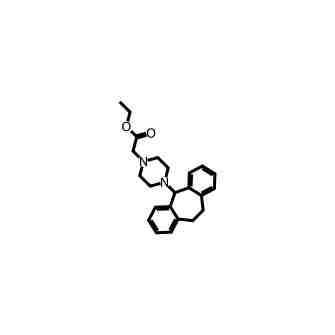 CCOC(=O)CN1CCN(C2c3ccccc3CCc3ccccc32)CC1